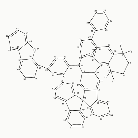 CC1(C)CCC(C)(C)c2c(-c3cc4c(cc3N(c3ccc(-c5ccccc5)cc3)c3ccc(-c5cccc6c5oc5ccccc56)cc3)C3(c5ccccc5-c5ccccc53)c3ccccc3-4)cccc21